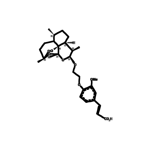 COc1cc(C=CC(=O)O)ccc1OCCO[C@H]1O[C@@H]2O[C@@]3(C)CCC4[C@H](C)CC[C@@H]([C@H]1C)[C@]42OO3